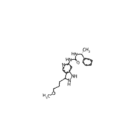 COCCCC1NNc2cc(NC(=O)N[C@H](C)c3ccccc3)ncc21